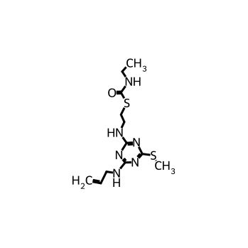 C=CCNc1nc(NCCSC(=O)NCC)nc(SC)n1